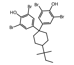 CCC(C)(C)C1CCC(c2cc(Br)c(O)c(Br)c2)(c2cc(Br)c(O)c(Br)c2)CC1